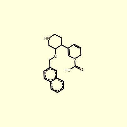 O=C(O)N1C=C(C2CCNCC2OCc2ccc3ccccc3c2)C=CC1